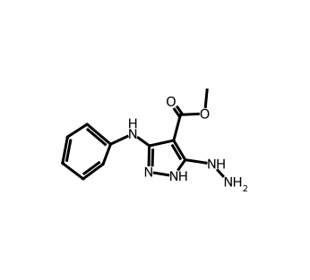 COC(=O)c1c(Nc2ccccc2)n[nH]c1NN